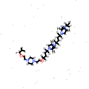 CC(C)[C@@H](C)OCCN1CCN(CCOC(C)(C)CCC(C)(C)N2C[C@H]3C[C@@H]2CN3C(C)(C)CCC(C)(C)N2C[C@@H]3C[C@H]2CN3C(C)(C)C)CC1